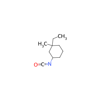 CCC1(C)CCCC(N=C=O)C1